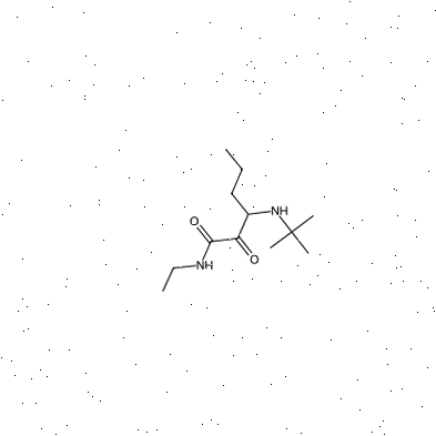 CCCC(NC(C)(C)C)C(=O)C(=O)NCC